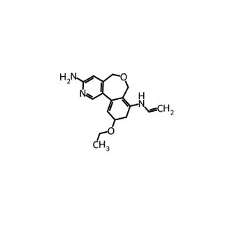 C=CNC1=C2COCc3cc(N)ncc3C2=CC(OCC)C1